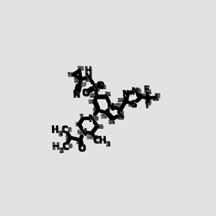 CC(C)C(=O)N1CCN(c2cc(S(=O)(=O)NC3(C#N)CC3)cn3c(-c4nnc(C(F)(F)F)s4)ncc23)C[C@H]1C